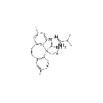 Cc1ccc2c(c1)CCc1cc(C)ccc1C2(C[C@@H](C)N)c1nnc(C(C)C)[nH]1